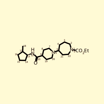 CCOC(=O)N1CCCC(N2CCC(C(=O)N[C@H]3CCCC3C)CC2)CC1